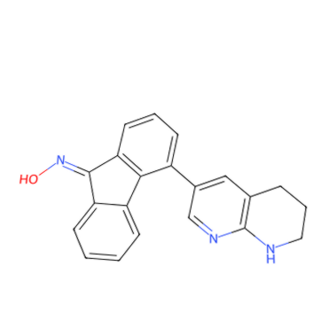 O/N=C1\c2ccccc2-c2c1cccc2-c1cnc2c(c1)CCCN2